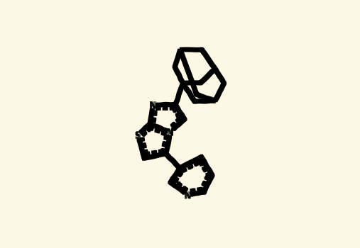 c1cncc(-c2csc3nc(C45CC6CC(CC(C6)C4)C5)cn23)c1